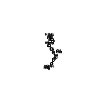 CCN(C)S(=O)(=O)Nc1ccc(F)c(C(=O)c2c[nH]c3ncc(-c4ccc(N5CCC(NCC(=O)N6CCC(c7ccc(NC8CCC(=O)NC8=O)cc7)CC6)CC5)nc4)cc23)c1F.O=CO